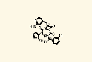 CC[C@@H](NC(=O)N1C(=O)[C@H](Cc2ccnc(N)c2)[C@H]1C(=O)N(C)c1cccn1C)c1cccc(Cl)c1